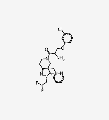 NC(COc1cccc(Cl)c1)C(=O)N1CCC2=NN(CC(F)F)C(=O)[C@]2(Cc2ccccn2)C1